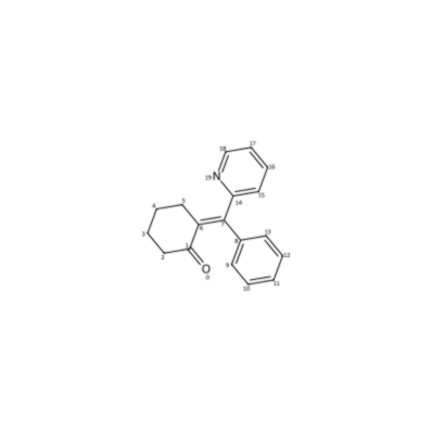 O=C1CCCCC1=C(c1ccccc1)c1ccccn1